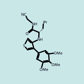 COc1cc(-c2cscc2N[C@@H](CC(C)C)C(=O)NCC#N)cc(OC)c1OC